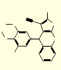 COc1cc(C2c3ccccc3Oc3oc(N)c(C#N)c32)cc(Br)c1OC